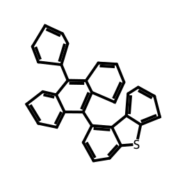 c1ccc(-c2c3ccccc3c(-c3cccc4sc5ccccc5c34)c3ccccc23)cc1